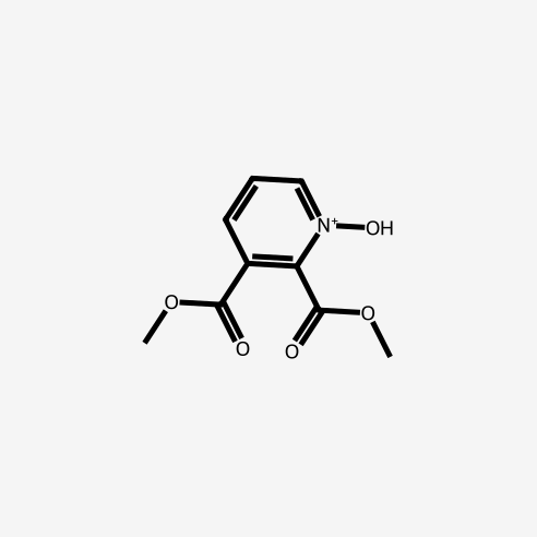 COC(=O)c1ccc[n+](O)c1C(=O)OC